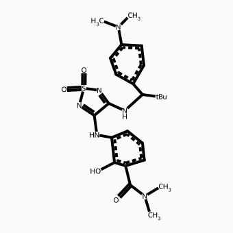 CN(C)C(=O)c1cccc(NC2=NS(=O)(=O)N=C2NC(c2ccc(N(C)C)cc2)C(C)(C)C)c1O